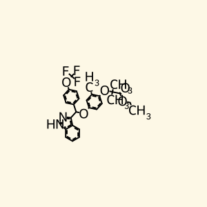 CCOC(=O)C(C)(C)Oc1ccc(OC(c2ccc(OC(F)(F)F)cc2)c2n[nH]c3ccccc23)cc1C